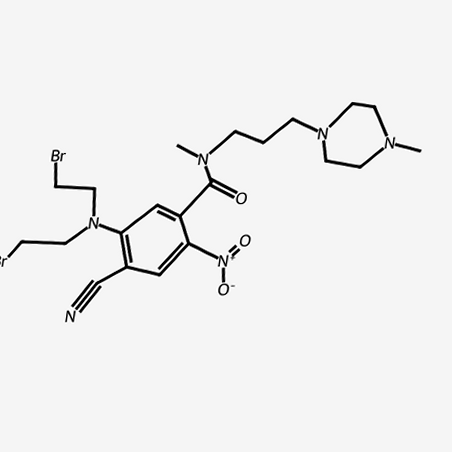 CN1CCN(CCCN(C)C(=O)c2cc(N(CCBr)CCBr)c(C#N)cc2[N+](=O)[O-])CC1